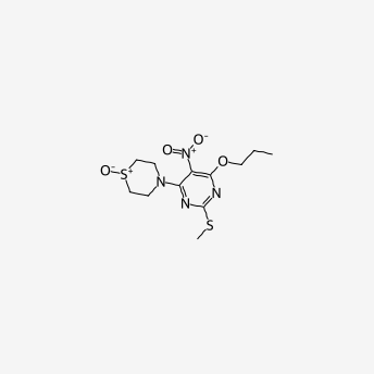 CCCOc1nc(SC)nc(N2CC[S+]([O-])CC2)c1[N+](=O)[O-]